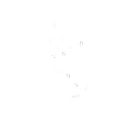 Cc1cc(-n2c(-c3ccc(F)cc3)nc3ccc(N4CCN(C(=O)O)CC4)cc32)ccn1